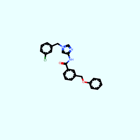 O=C(Nc1cn(Cc2cccc(Cl)c2)cn1)c1cccc(COc2ccccc2)c1